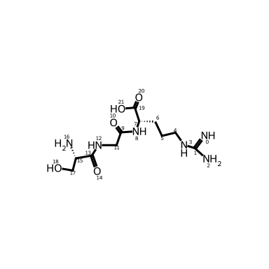 N=C(N)NCCC[C@H](NC(=O)CNC(=O)[C@@H](N)CO)C(=O)O